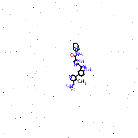 CCNCc1cncc(-c2ccc3[nH]nc(-c4ncc(C(=O)NC5CC6CCC(C5)N6)[nH]4)c3c2)c1C